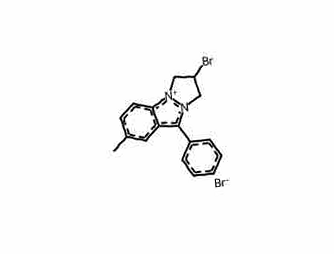 Cc1ccc2c(c1)c(-c1ccccc1)n1[n+]2CC(Br)C1.[Br-]